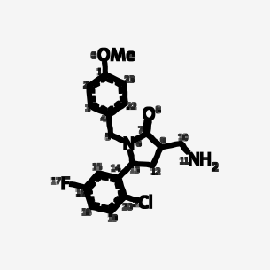 COc1ccc(CN2C(=O)C(CN)CC2c2cc(F)ccc2Cl)cc1